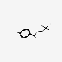 CC(NCC(C)(C)O)c1ccc(F)cc1